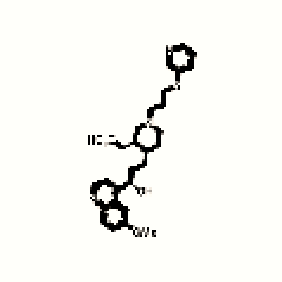 COc1ccc2nccc([C@@H](O)CC[C@@H]3CCN(CCCSc4cccnc4)C[C@@H]3CC(=O)O)c2c1